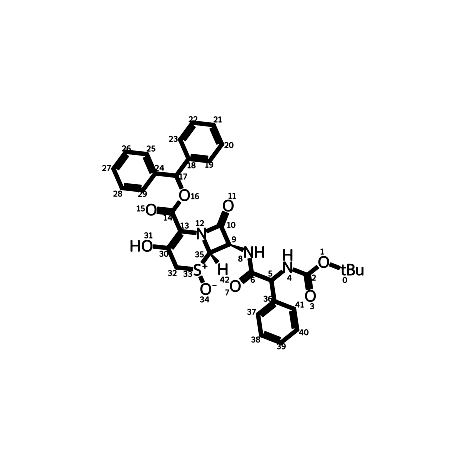 CC(C)(C)OC(=O)NC(C(=O)N[C@@H]1C(=O)N2C(C(=O)OC(c3ccccc3)c3ccccc3)=C(O)C[S+]([O-])[C@@H]12)c1ccccc1